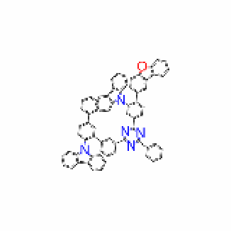 c1ccc(-c2ccc(-n3c4ccccc4c4ccccc43)c(-c3cccc(-c4nc(-c5ccccc5)nc(-c5ccc(-c6ccc7oc8ccccc8c7c6)c(-n6c7ccccc7c7ccccc76)c5)n4)c3)c2)cc1